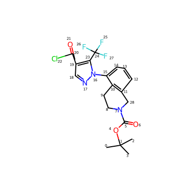 CC(C)(C)OC(=O)N1CCc2c(cccc2-n2ncc(C(=O)Cl)c2C(F)(F)F)C1